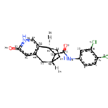 O=C(Nc1ccc(Cl)c(Cl)c1)C1[C@@H]2CC[C@@H]1c1c[nH]c(=O)cc1C2